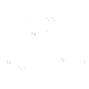 Nc1nccc2cc(CNC(=O)c3nnc(Cc4cc(F)c5ncc(Cl)cc5c4)o3)ccc12